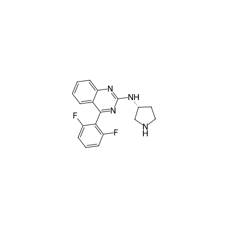 Fc1cccc(F)c1-c1nc(N[C@@H]2CCNC2)nc2ccccc12